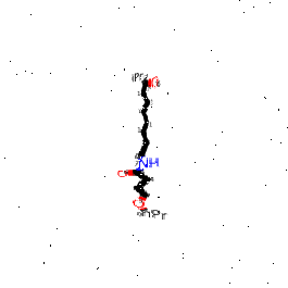 CCCOCCCC(=O)NCCCCCCCC(=O)C(C)C